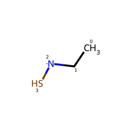 CC[N]S